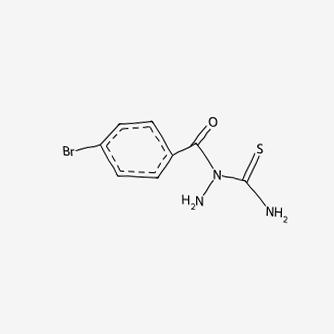 NC(=S)N(N)C(=O)c1ccc(Br)cc1